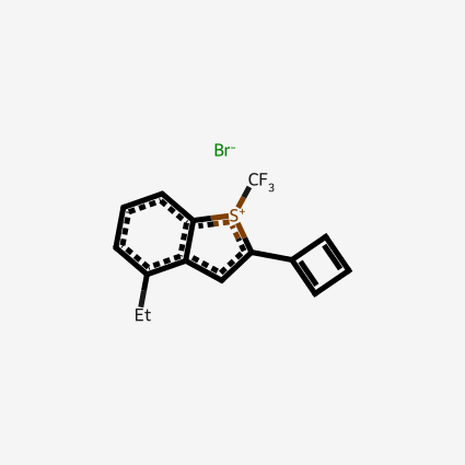 CCc1cccc2c1cc(C1=CC=C1)[s+]2C(F)(F)F.[Br-]